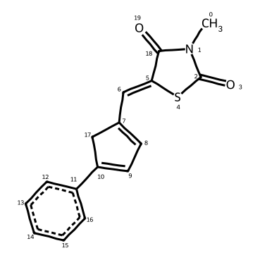 CN1C(=O)S/C(=C\C2=CC=C(c3ccccc3)C2)C1=O